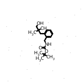 CC(C)(CO)Cc1ccccc1CNC(=O)OC(C)(C)C